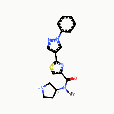 CCCN(C(=O)c1csc(-c2cnn(-c3ccccc3)c2)n1)[C@H]1CCNC1